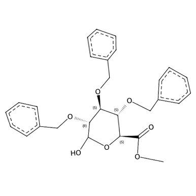 COC(=O)[C@H]1OC(O)[C@H](OCc2ccccc2)[C@@H](OCc2ccccc2)[C@@H]1OCc1ccccc1